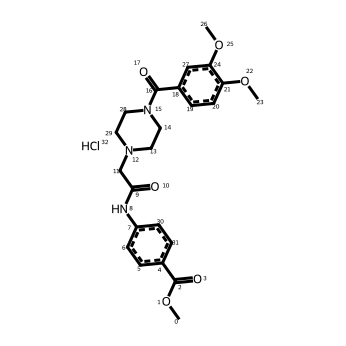 COC(=O)c1ccc(NC(=O)CN2CCN(C(=O)c3ccc(OC)c(OC)c3)CC2)cc1.Cl